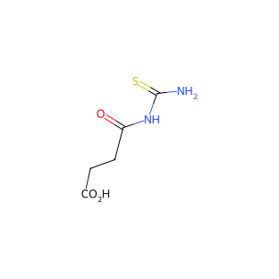 NC(=S)NC(=O)CCC(=O)O